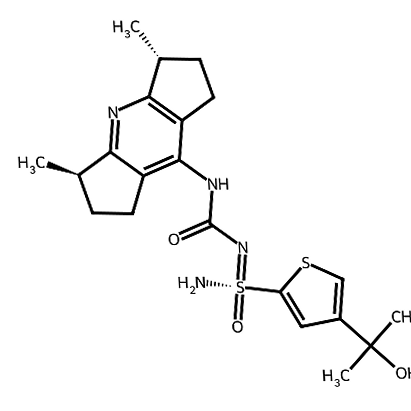 C[C@@H]1CCc2c1nc1c(c2NC(=O)N=[S@](N)(=O)c2cc(C(C)(C)O)cs2)CC[C@H]1C